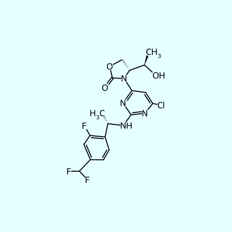 C[C@H](Nc1nc(Cl)cc(N2C(=O)OC[C@@H]2[C@@H](C)O)n1)c1ccc(C(F)F)cc1F